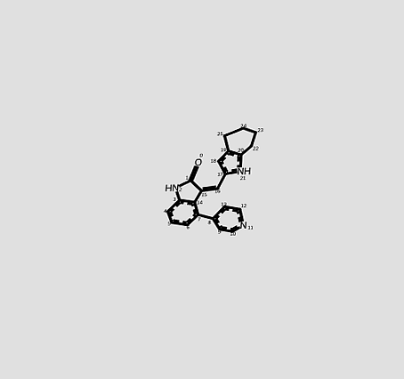 O=C1Nc2cccc(-c3ccncc3)c2C1=Cc1cc2c([nH]1)CCCC2